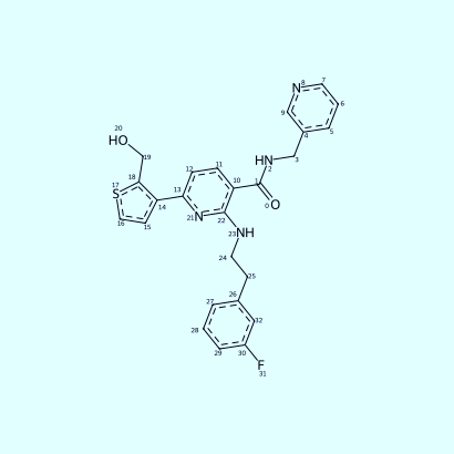 O=C(NCc1cccnc1)c1ccc(-c2ccsc2CO)nc1NCCc1cccc(F)c1